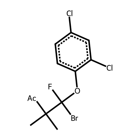 CC(=O)C(C)(C)C(F)(Br)Oc1ccc(Cl)cc1Cl